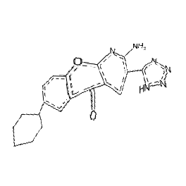 Nc1nc2oc3ccc(C4CCCCC4)cc3c(=O)c2cc1-c1nnn[nH]1